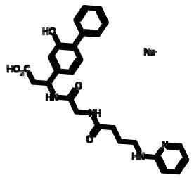 O=C(O)CC(NC(=O)CNC(=O)CCCNc1ccccn1)c1ccc(-c2ccccc2)c(O)c1.[Na]